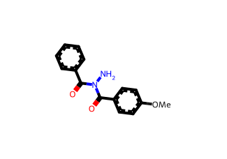 COc1ccc(C(=O)N(N)C(=O)c2ccccc2)cc1